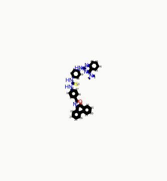 CN(C)c1nc(NC2CCC(NC(=S)Nc3ccc(-c4nc5c6ccccc6c6ccccc6c5o4)cc3)CC2)nc2c1CCCC2